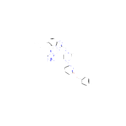 CCn1cnnc1Cn1c(CN2CCN(c3cccc(OCc4ccc(Cl)cc4F)n3)C[C@@H]2C)nc2ccc(C(=O)O)cc21